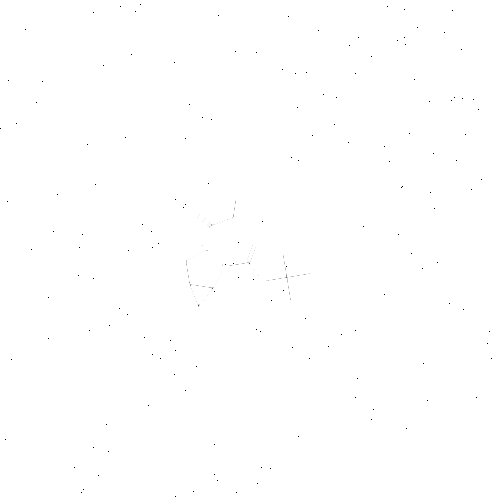 CC(C)(C)OC(=O)N1C2CC2C[C@@H]1C(=O)CCl